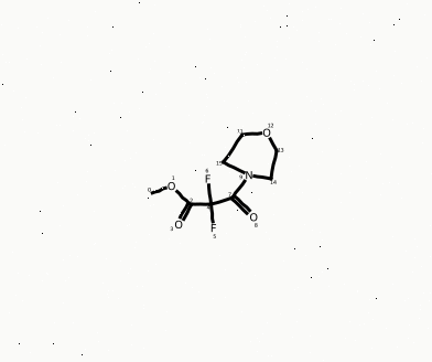 COC(=O)C(F)(F)C(=O)N1CCOCC1